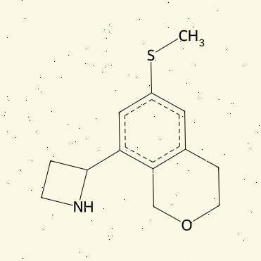 CSc1cc2c(c(C3CCN3)c1)COCC2